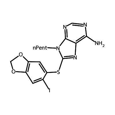 CCCCCn1c(Sc2cc3c(cc2I)OCO3)nc2c(N)ncnc21